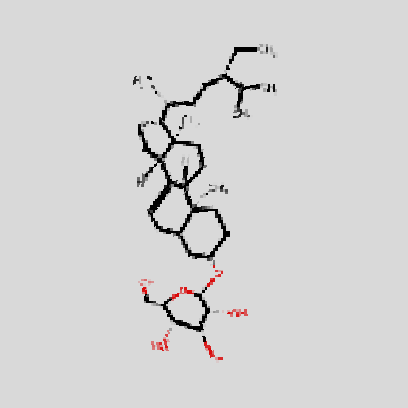 CC[C@H](CC[C@@H](C)[C@H]1CC[C@H]2C3=CCC4C[C@@H](O[C@@H]5O[C@H](CO)[C@@H](O)[C@H](O)[C@H]5O)CC[C@]4(C)[C@H]3CC[C@]12C)C(C)C